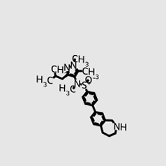 Cc1c(N(C)[S+]([O-])c2ccc(-c3ccc4c(c3)CNCCC4)cc2)c(CC(C)C)nn1C